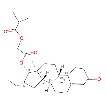 CC[C@H]1C[C@H]2[C@@H]3CCC4=CC(=O)CC[C@@H]4[C@H]3CC[C@]2(C)[C@H]1OC(=O)COC(=O)C(C)C